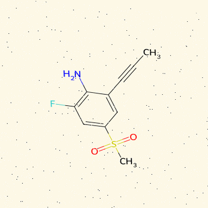 CC#Cc1cc(S(C)(=O)=O)cc(F)c1N